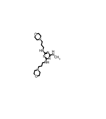 CNc1nc(NCCCN2CCOCC2)nc(NCCCN2CCOCC2)n1